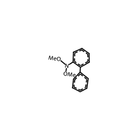 CON(OC)c1ccccc1-c1ccccc1